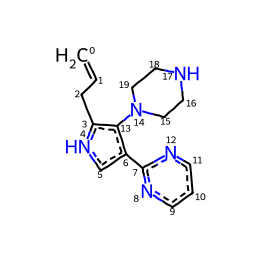 C=CCc1[nH]cc(-c2ncccn2)c1N1CCNCC1